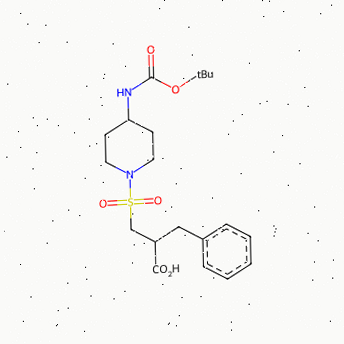 CC(C)(C)OC(=O)NC1CCN(S(=O)(=O)CC(Cc2ccccc2)C(=O)O)CC1